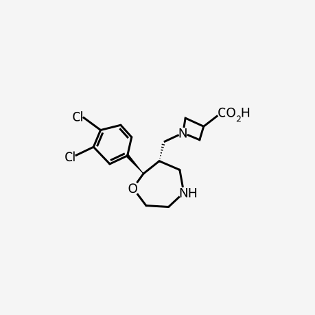 O=C(O)C1CN(C[C@@H]2CNCCO[C@H]2c2ccc(Cl)c(Cl)c2)C1